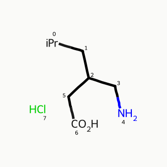 CC(C)CC(CN)CC(=O)O.Cl